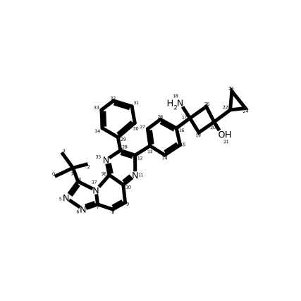 CC(C)(C)c1nnc2ccc3nc(-c4ccc(C5(N)CC(O)(C6CC6)C5)cc4)c(-c4ccccc4)nc3n12